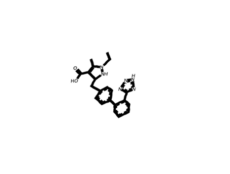 CCN1NC(Cc2ccc(-c3ccccc3-c3nn[nH]n3)cc2)C(C(=O)O)=C1C